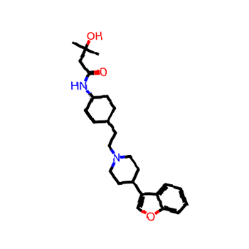 CC(C)(O)CC(=O)NC1CCC(CCN2CCC(c3coc4ccccc34)CC2)CC1